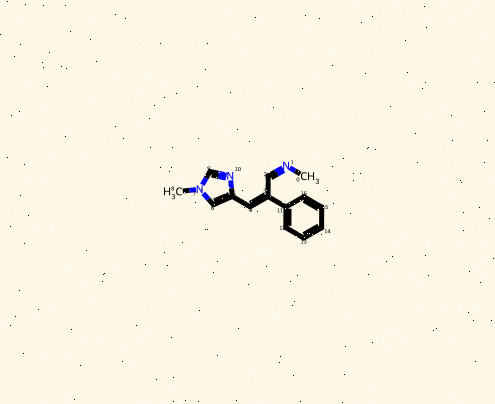 C/N=C\C(=C/c1cn(C)cn1)c1ccccc1